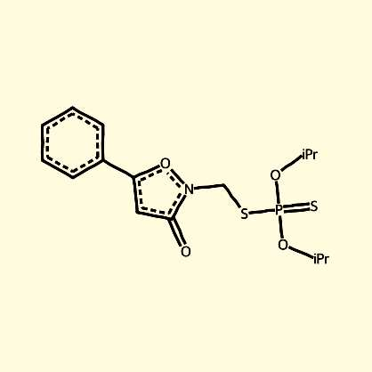 CC(C)OP(=S)(OC(C)C)SCn1oc(-c2ccccc2)cc1=O